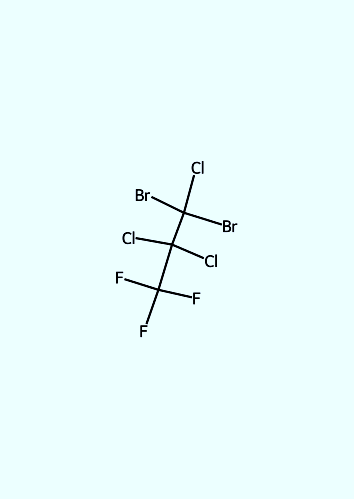 FC(F)(F)C(Cl)(Cl)C(Cl)(Br)Br